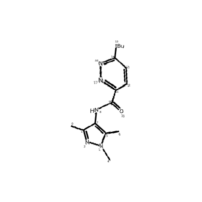 Cc1nn(C)c(C)c1NC(=O)c1ccc(C(C)(C)C)nn1